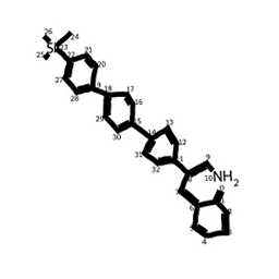 C=c1cccc/c1=C/C(=C\N)c1ccc(-c2ccc(-c3ccc([Si](C)(C)C)cc3)cc2)cc1